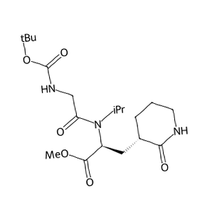 COC(=O)[C@H](C[C@@H]1CCCNC1=O)N(C(=O)CNC(=O)OC(C)(C)C)C(C)C